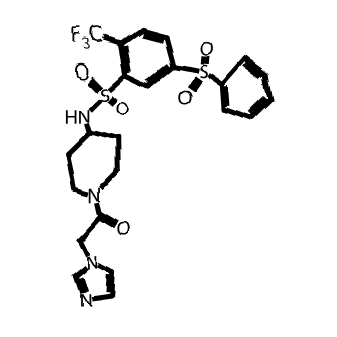 O=C(Cn1ccnc1)N1CCC(NS(=O)(=O)c2cc(S(=O)(=O)c3ccccc3)ccc2C(F)(F)F)CC1